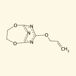 C=CCOc1nc2nc(n1)OCCO2